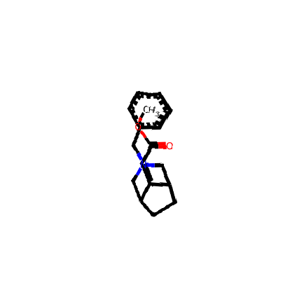 COC(=O)C=C1C2CCC1CN(Cc1ccccc1)C2